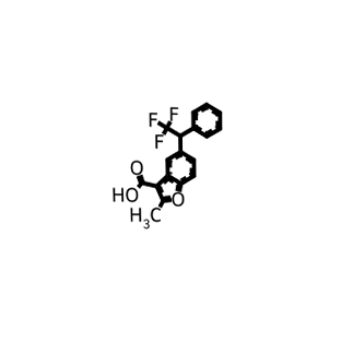 Cc1oc2ccc(C(c3ccccc3)C(F)(F)F)cc2c1C(=O)O